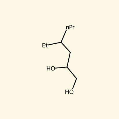 CCCC(CC)CC(O)CO